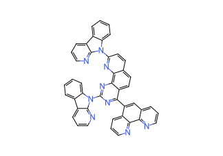 c1cnc2c(c1)cc(-c1nc(-n3c4ccccc4c4cccnc43)nc3c1ccc1ccc(-n4c5ccccc5c5cccnc54)nc13)c1cccnc12